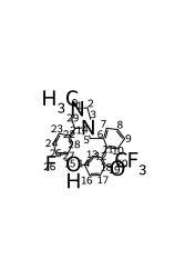 CN1CCN(Cc2ccccc2-c2cc(O)ccc2OC(F)(F)F)[C@@H](c2ccc(F)cc2)C1